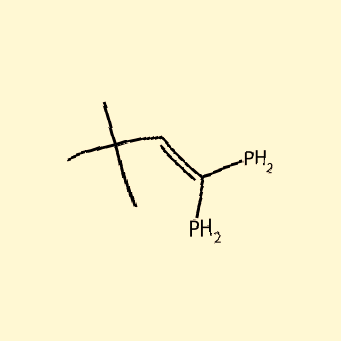 CC(C)(C)C=C(P)P